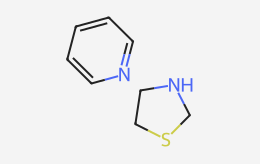 C1CSCN1.c1ccncc1